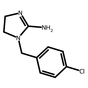 NC1=NCCN1Cc1ccc(Cl)cc1